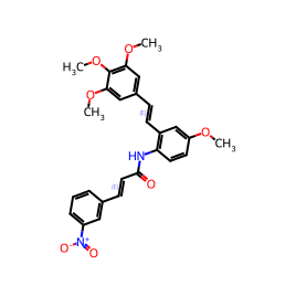 COc1ccc(NC(=O)/C=C/c2cccc([N+](=O)[O-])c2)c(/C=C/c2cc(OC)c(OC)c(OC)c2)c1